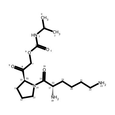 CC(C)NC(=O)OCC(=O)[C@@H]1CCCN1C(=O)[C@@H](N)CCCCN